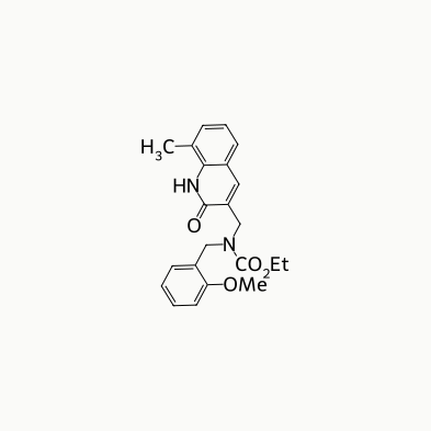 CCOC(=O)N(Cc1ccccc1OC)Cc1cc2cccc(C)c2[nH]c1=O